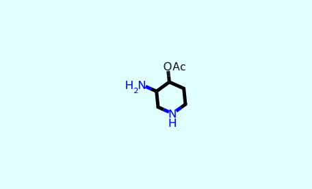 CC(=O)OC1CCNCC1N